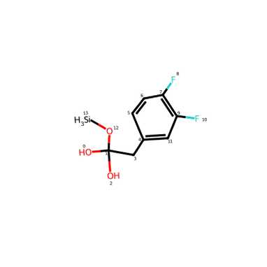 OC(O)(Cc1ccc(F)c(F)c1)O[SiH3]